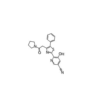 N#Cc1cnc(-c2nc(CC(=O)N3CCCC3)c(-c3ccccc3)s2)c(O)c1